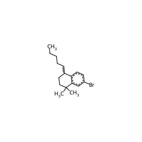 CCCCC=C1CCC(C)(C)c2cc(Br)ccc21